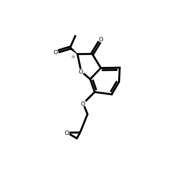 CC(=O)[C@@H]1Oc2c(OCC3CO3)cccc2C1=O